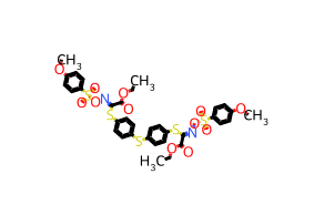 CCOC(=O)/C(=N/OS(=O)(=O)c1ccc(OC)cc1)Sc1ccc(Sc2ccc(S/C(=N\OS(=O)(=O)c3ccc(OC)cc3)C(=O)OCC)cc2)cc1